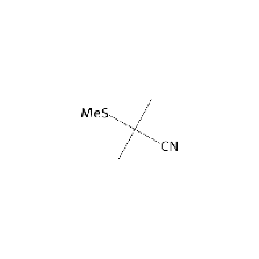 CSC(C)(C)C#N